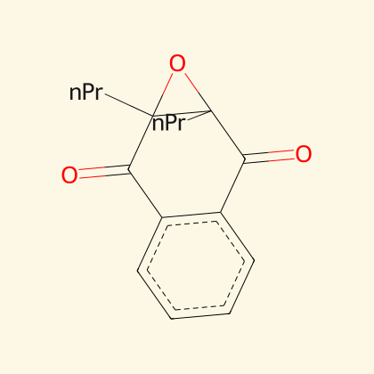 CCCC12OC1(CCC)C(=O)c1ccccc1C2=O